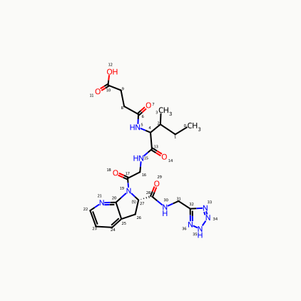 CCC(C)C(NC(=O)CCC(=O)O)C(=O)NCC(=O)N1c2ncccc2C[C@H]1C(=O)NCc1nn[nH]n1